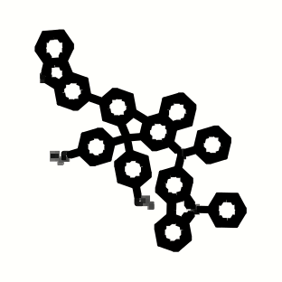 Cc1ccc(C2(c3ccc(C)cc3)c3cc(-c4ccc5sc6ccccc6c5c4)ccc3-c3c2cc(N(c2ccccc2)c2ccc4c5ccccc5n(-c5ccccc5)c4c2)c2ccccc32)cc1